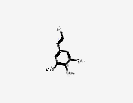 COc1cc(/C=C/C#N)cc(OC)c1OC